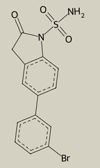 NS(=O)(=O)N1C(=O)Cc2cc(-c3cccc(Br)c3)ccc21